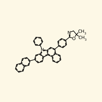 CC1(C)CN=C(c2ccc(-c3cc4c(c5ccccc35)c3ccc(-c5ccc6ccccc6c5)cc3n4-c3ccccc3)cc2)O1